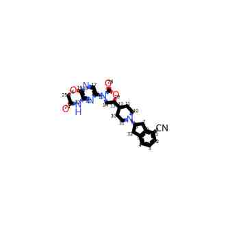 N#Cc1cccc2c1CC(N1CCC(C3CN(c4cnc5c(n4)NC(=O)CO5)C(=O)O3)CC1)C2